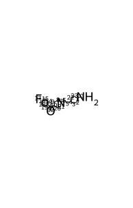 NC1CCC(CCN2CCC(C(=O)c3ccc(F)cc3)CC2)CC1